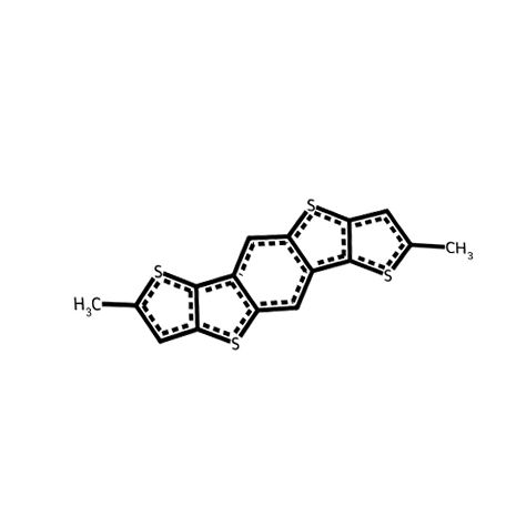 Cc1cc2sc3cc4c(cc3c2s1)sc1cc(C)sc14